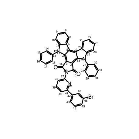 O=C1c2c(c3c(c4ccccc4n3-c3ccccc3)c3c4ccccc4n(-c4ccccc4)c23)C(=O)N1c1cccc(-c2cccc(Br)c2)n1